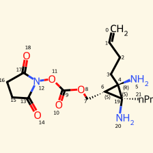 C=CCC[C@@]1(N)[C@@H](COC(=O)ON2C(=O)CCC2=O)[C@@]1(N)CCC